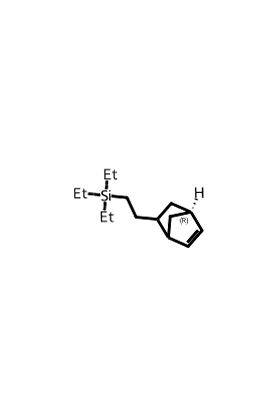 CC[Si](CC)(CC)CCC1C[C@H]2C=CC1C2